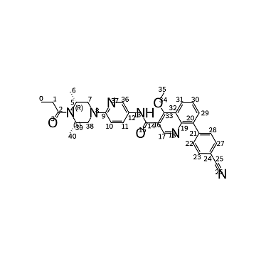 CCC(=O)N1[C@H](C)CN(c2ccc(NC(=O)c3cnc4c(-c5ccc(C#N)cc5)cccc4c3OC)cn2)C[C@@H]1C